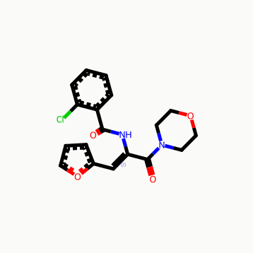 O=C(N/C(=C\c1ccco1)C(=O)N1CCOCC1)c1ccccc1Cl